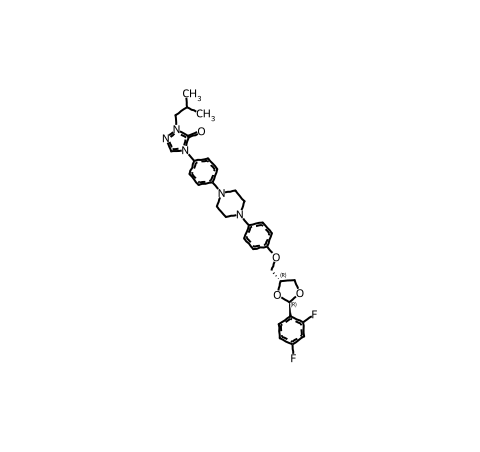 CC(C)Cn1ncn(-c2ccc(N3CCN(c4ccc(OC[C@@H]5CO[C@@H](c6ccc(F)cc6F)O5)cc4)CC3)cc2)c1=O